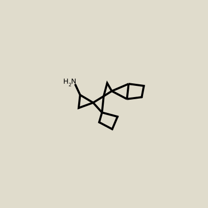 NC1CC12C1(CCC1)C21CC12C1CCC12